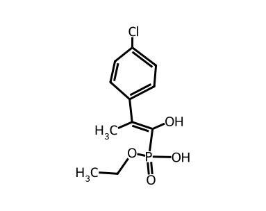 CCOP(=O)(O)C(O)=C(C)c1ccc(Cl)cc1